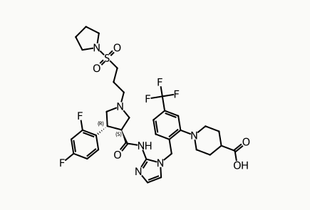 O=C(O)C1CCN(c2cc(C(F)(F)F)ccc2Cn2ccnc2NC(=O)[C@@H]2CN(CCCS(=O)(=O)N3CCCC3)C[C@H]2c2ccc(F)cc2F)CC1